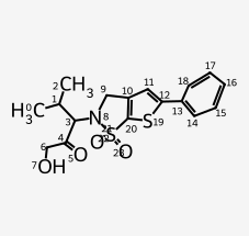 CC(C)C(C(=O)CO)N1Cc2cc(-c3ccccc3)sc2S1(=O)=O